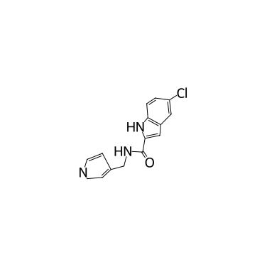 O=C(NCc1ccncc1)c1cc2cc(Cl)ccc2[nH]1